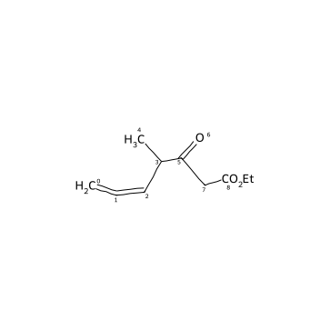 C=C=CC(C)C(=O)CC(=O)OCC